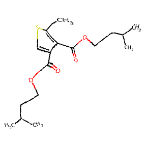 Cc1scc(C(=O)OCCC(C)C)c1C(=O)OCCC(C)C